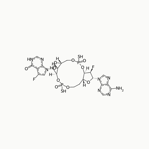 Nc1ncnc2c1ncn2[C@@H]1O[C@@H]2CCOP(=O)(S)O[C@@H]3[C@H](O)[C@@H](COP(=O)(S)O[C@H]2[C@H]1F)O[C@H]3n1cc(F)c2c(=O)[nH]cnc21